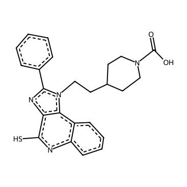 O=C(O)N1CCC(CCn2c(-c3ccccc3)nc3c(S)nc4ccccc4c32)CC1